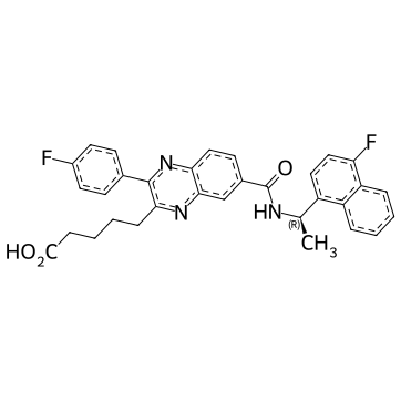 C[C@@H](NC(=O)c1ccc2nc(-c3ccc(F)cc3)c(CCCCC(=O)O)nc2c1)c1ccc(F)c2ccccc12